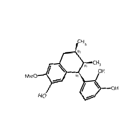 COc1cc2c(cc1O)[C@H](c1cccc(O)c1O)[C@H](C)[C@H](C)C2